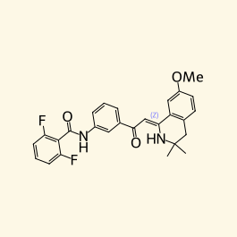 COc1ccc2c(c1)/C(=C/C(=O)c1cccc(NC(=O)c3c(F)cccc3F)c1)NC(C)(C)C2